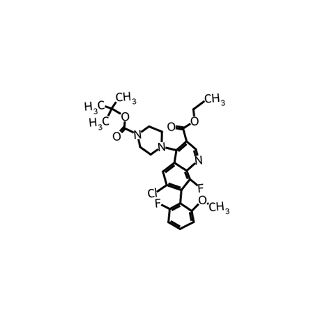 CCOC(=O)c1cnc2c(F)c(-c3c(F)cccc3OC)c(Cl)cc2c1N1CCN(C(=O)OC(C)(C)C)CC1